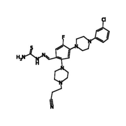 N#CCCN1CCN(c2cc(N3CCN(c4cccc(Cl)c4)CC3)c(F)cc2C=NNC(N)=S)CC1